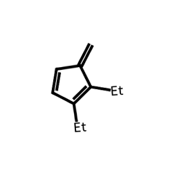 C=C1C=CC(CC)=C1CC